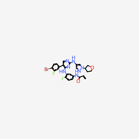 C=CC(=O)Nc1ccc(F)c(Nc2nc(Nc3cnn(C4CCOC4)c3)ncc2-c2ccc(Br)c(F)c2)c1